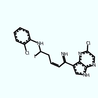 N=C(/C=C\CC(I)Nc1ccccc1Cl)c1c[nH]c2ncc(Cl)nc12